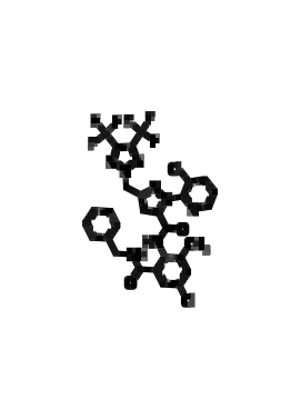 Cc1cc(Cl)cc(C(=O)NCc2ccccc2)c1NC(=O)c1cc(Cn2nc(C(F)(F)F)c(C(F)(F)F)n2)nn1-c1ncccc1Cl